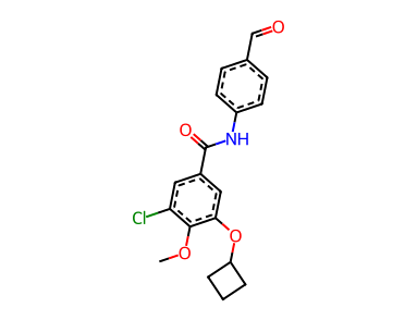 COc1c(Cl)cc(C(=O)Nc2ccc(C=O)cc2)cc1OC1CCC1